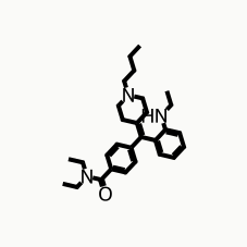 CCCCN1CCC(=C(c2ccc(C(=O)N(CC)CC)cc2)c2ccccc2NCC)CC1